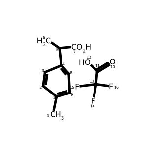 Cc1ccc(C(C)C(=O)O)cc1.O=C(O)C(F)(F)F